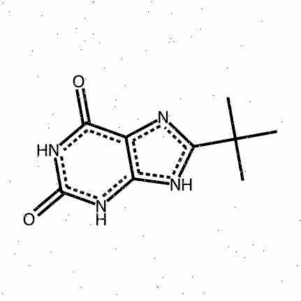 CC(C)(C)c1nc2c(=O)[nH]c(=O)[nH]c2[nH]1